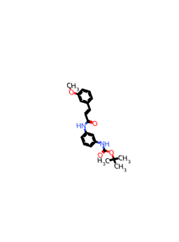 COc1cccc(/C=C/C(=O)Nc2cccc(NC(=O)OC(C)(C)C)c2)c1